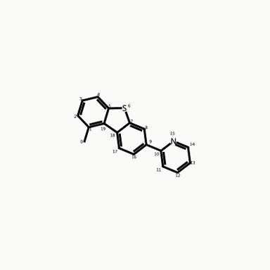 Cc1cccc2sc3cc(-c4ccccn4)ccc3c12